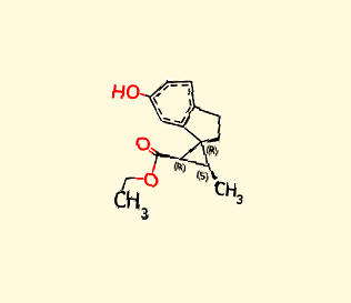 CCOC(=O)[C@@H]1[C@H](C)[C@]12CCc1ccc(O)cc12